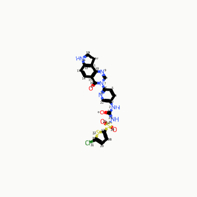 O=C(Nc1ccc(-n2cnc3c4c(ccc3c2=O)NCC4)nc1)NS(=O)(=O)c1ccc(Cl)s1